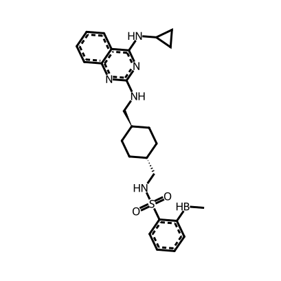 CBc1ccccc1S(=O)(=O)NC[C@H]1CC[C@H](CNc2nc(NC3CC3)c3ccccc3n2)CC1